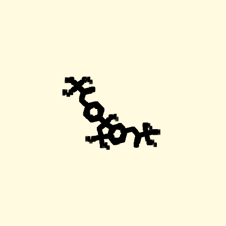 CC(C)(O)C(=O)Cc1ccc(C2(C)CC(C)(C)c3ccc(CC(=O)C(C)(C)O)cc32)cc1